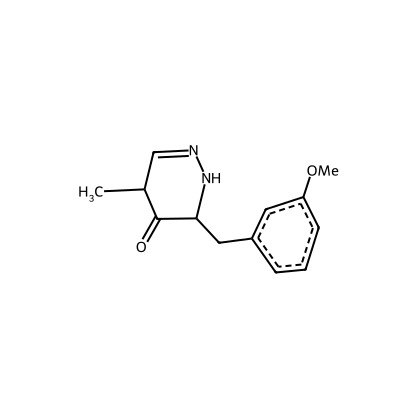 COc1cccc(CC2NN=CC(C)C2=O)c1